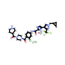 Cl.Cn1c(-c2cn(CC3CC3)nc2C(F)(F)F)cnc1C(=O)Nc1ccc(C(=O)N2CCN(C(=O)C3CCNCC3)CC2)c(Cl)c1